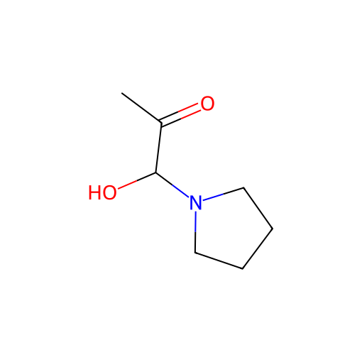 CC(=O)C(O)N1CCCC1